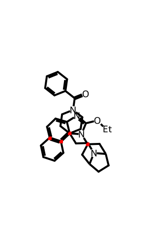 CCOc1nc2ccccc2n1C1CC2CCC(C1)N2CCC1(c2ccccc2)CCN(C(=O)c2ccccc2)CC1